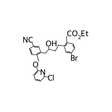 CCOC(=O)Cc1ccc(Br)cc1CCC(O)Cc1cc(C#N)ccc1COc1cccc(Cl)n1